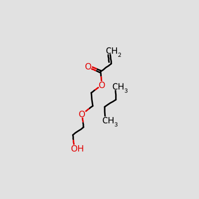 C=CC(=O)OCCOCCO.CCCC